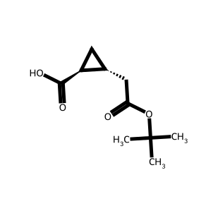 CC(C)(C)OC(=O)C[C@H]1C[C@@H]1C(=O)O